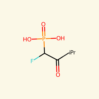 CC(C)C(=O)C(F)P(=O)(O)O